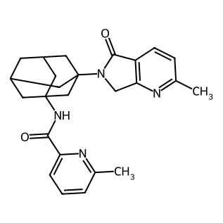 Cc1cccc(C(=O)NC23CC4CC(C2)CC(N2Cc5nc(C)ccc5C2=O)(C4)C3)n1